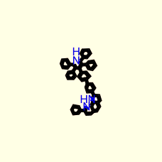 C1=CC(c2ccc3ccc4c(c3n2)NC(c2ccc(-c3ccc(C5=C(c6ccccc6)C(c6ccccc6)NC(c6ccccc6)=C5c5ccccc5)cc3)cc2)C=C4)=CCC1